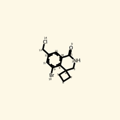 O=C1NCC2(CCC2)c2c(Br)cc(CCl)cc21